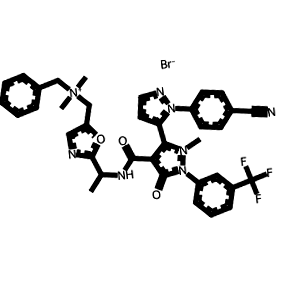 CC(NC(=O)c1c(-c2ccnn2-c2ccc(C#N)cc2)n(C)n(-c2cccc(C(F)(F)F)c2)c1=O)c1ncc(C[N+](C)(C)Cc2ccccc2)o1.[Br-]